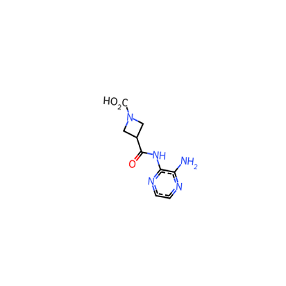 Nc1nccnc1NC(=O)C1CN(C(=O)O)C1